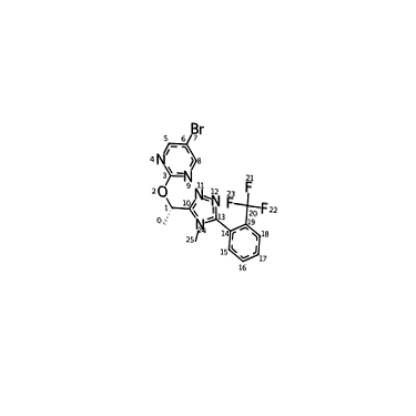 C[C@H](Oc1ncc(Br)cn1)c1nnc(-c2ccccc2C(F)(F)F)n1C